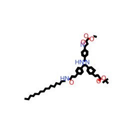 CCCCCCCCCCCCCCCCNC(=O)/C=C/c1ccc(-c2[nH]c(-c3ccc(C4=NOC(C(=O)OCC)C4)cc3)nc2-c2ccc(/C=C/C(=O)OC(C)(C)C)cc2)cc1